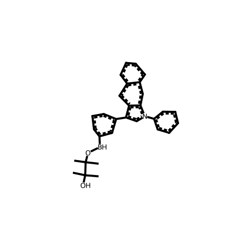 CC(C)(O)C(C)(C)OBc1cccc(-c2cn(-c3ccccc3)c3cc4ccccc4cc23)c1